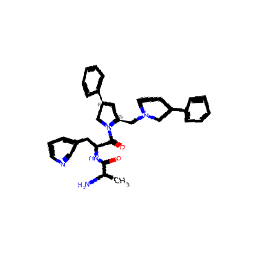 CC(N)C(=O)NC(Cc1cccnc1)C(=O)N1C[C@@H](c2ccccc2)C[C@H]1CN1CCC(c2ccccc2)C1